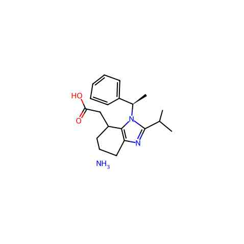 CC(C)c1nc2c(n1[C@H](C)c1ccccc1)C(CC(=O)O)CCC2.N